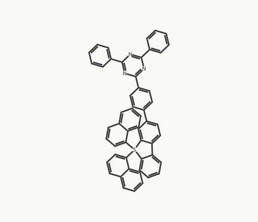 c1ccc(-c2nc(-c3ccccc3)nc(-c3ccc(-c4ccc5c(c4)S(c4cccc6ccccc46)(c4cccc6ccccc46)c4ccccc4-5)cc3)n2)cc1